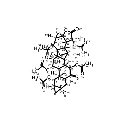 CC(=O)O[C@H]1[C@H]2[C@H]([C@@H]3[C@@]4(O)C[C@@]5([C@H](C)[C@H]6O[C@]67OC(=O)[C@@](C)(OC(C)=O)[C@]7(C)[C@H]45)[C@@]3(C)[C@H]1OC(C)=O)[C@@H](OC(C)=O)C(=O)[C@H]1C[C@@]3(O)C[C@@H]3[C@H](OC(C)=O)[C@]21C